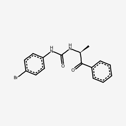 C[C@H](NC(=O)Nc1ccc(Br)cc1)C(=O)c1ccccc1